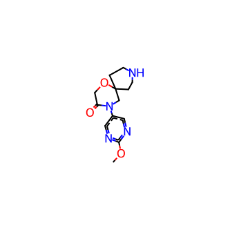 COc1ncc(N2CC3(CCNCC3)OCC2=O)cn1